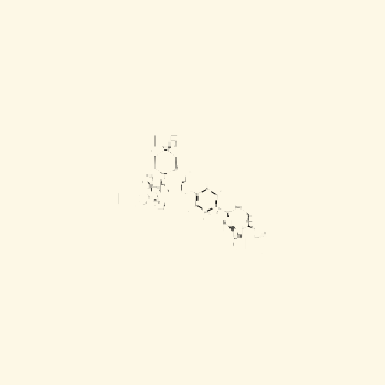 CN1N=C(c2ccc(OC[C@H]3CC(F)(F)CC[C@@H]3NS(C)(=O)=O)cc2)CCC1=O